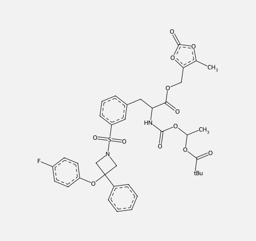 Cc1oc(=O)oc1COC(=O)C(Cc1cccc(S(=O)(=O)N2CC(Oc3ccc(F)cc3)(c3ccccc3)C2)c1)NC(=O)OC(C)OC(=O)C(C)(C)C